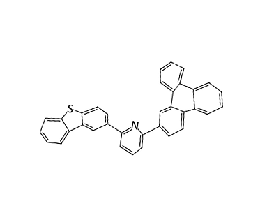 c1cc(-c2ccc3sc4ccccc4c3c2)nc(-c2ccc3c4ccccc4c4ccccc4c3c2)c1